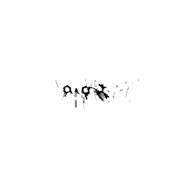 COC(=N)c1c(N)ncnc1Oc1ccc(NC(=O)Nc2ccc(F)cc2F)c(Cl)c1